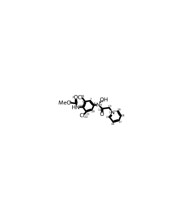 COC(=O)Nc1c(Cl)cc(N(O)C(=O)C[n+]2ccccc2)cc1Cl